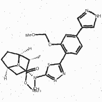 COCOc1cc(-c2cn[nH]c2)ccc1-c1nnc(N(C)[C@@H]2C[C@H]3CC[C@@H]([C@@H]2F)N3C(=O)OC(C)(C)C)s1